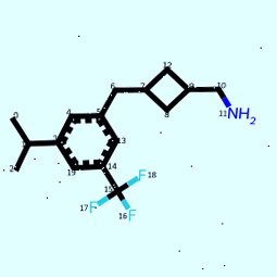 CC(C)c1cc(CC2CC(CN)C2)cc(C(F)(F)F)c1